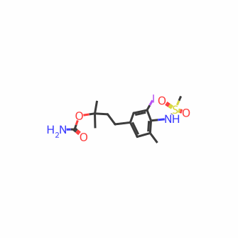 Cc1cc(CCC(C)(C)OC(N)=O)cc(I)c1NS(C)(=O)=O